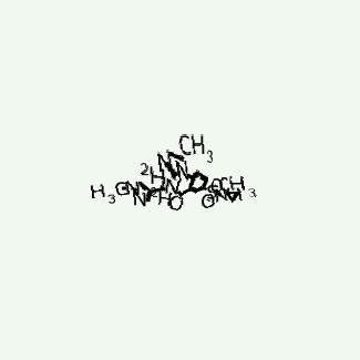 [2H]C([2H])(c1cnn(C)c1)N1C(=O)c2cc(S(=O)(=O)NC3(C)CC3)ccc2N2C1=NCC2C